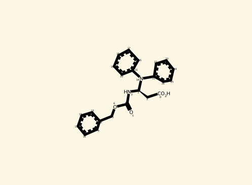 O=C(O)C[C@@H](NC(=O)OCc1ccccc1)N(c1ccccc1)c1ccccc1